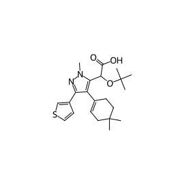 Cn1nc(-c2ccsc2)c(C2=CCC(C)(C)CC2)c1C(OC(C)(C)C)C(=O)O